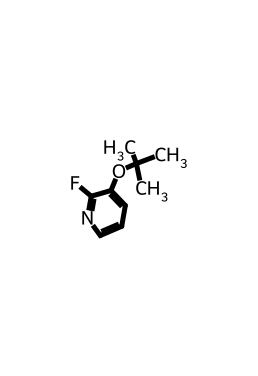 CC(C)(C)Oc1cccnc1F